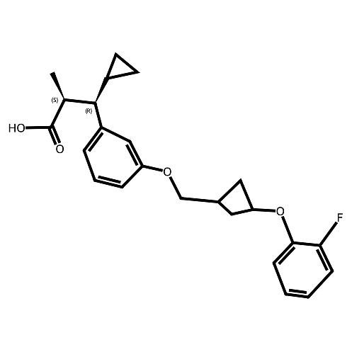 C[C@H](C(=O)O)[C@H](c1cccc(OCC2CC(Oc3ccccc3F)C2)c1)C1CC1